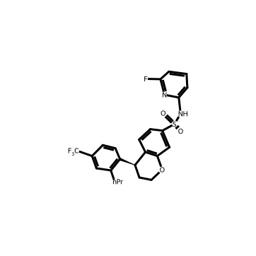 CCCc1cc(C(F)(F)F)ccc1[C@@H]1CCOc2cc(S(=O)(=O)Nc3cccc(F)n3)ccc21